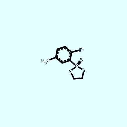 Cc1ccc(C(C)C)c(P2(=S)SCCS2)c1